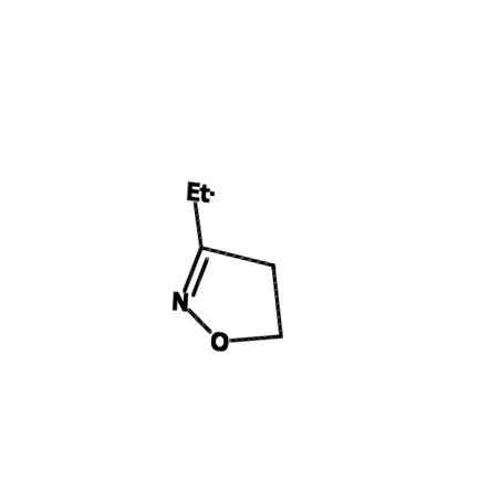 C[CH]C1=NOCC1